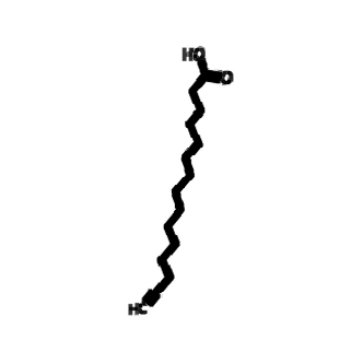 C#CCCCCCCCCCCCCC(=O)O